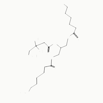 CCCCCCCCCCCCCCCC(=O)OCC(COC(=O)CCCCCCCCCCCCCCC)OC(=O)CC(C)(C)CC(=O)O